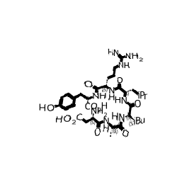 CC[C@H](C)[C@H](NC(=O)[C@H](C)NC(=O)[C@@H](N)CC(=O)O)C(=O)N[C@@H](CC(C)C)C(=O)N[C@@H](CCCNC(=N)N)C(=O)N[C@@H](Cc1ccc(O)cc1)C(=O)O